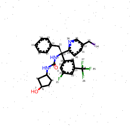 O=C(NC1CCC(O)C1)N[C@@](Cc1ccccc1)(c1cc(F)cc(C(F)(F)F)c1)c1ccc(CI)cn1